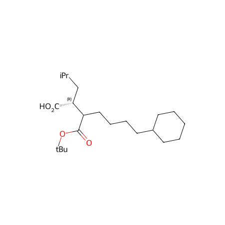 CC(C)C[C@@H](C(=O)O)C(CCCCC1CCCCC1)C(=O)OC(C)(C)C